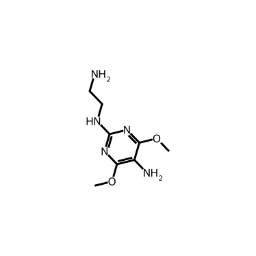 COc1nc(NCCN)nc(OC)c1N